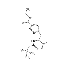 CCNC(=O)c1cc[n+](CC(NC(=O)OC(C)(C)C)C(=O)[O-])nc1